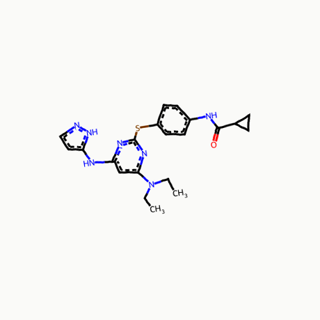 CCN(CC)c1cc(Nc2ccn[nH]2)nc(Sc2ccc(NC(=O)C3CC3)cc2)n1